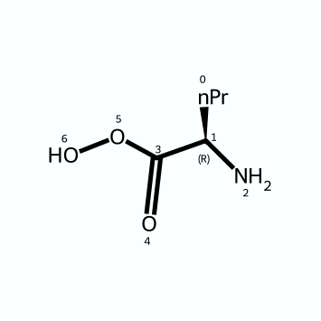 CCC[C@@H](N)C(=O)OO